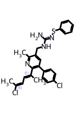 C/C(Cl)=C\C=C(/C)c1nc(C)c(CN/C(N)=N/Sc2ccccc2)cc1-c1ccc(Cl)cc1